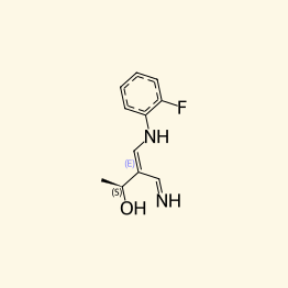 C[C@H](O)/C(C=N)=C/Nc1ccccc1F